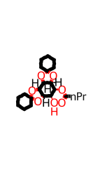 CCCC(=O)O[C@H]1[C@H](O)[C@H]2OC3(CCCCC3)O[C@@H]2[C@H]2OC3(CCCCC3)O[C@H]21